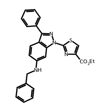 CCOC(=O)c1csc(-n2nc(-c3ccccc3)c3ccc(NCc4ccccc4)cc32)n1